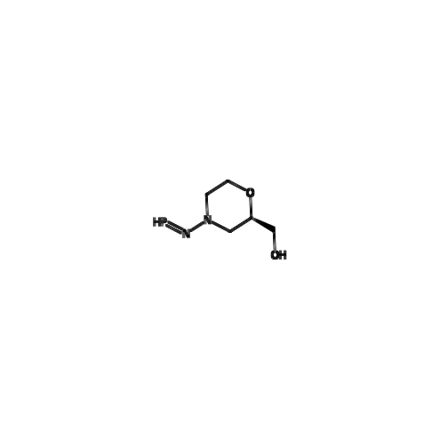 OC[C@H]1CN(N=P)CCO1